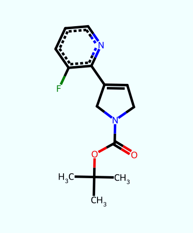 CC(C)(C)OC(=O)N1CC=C(c2ncccc2F)C1